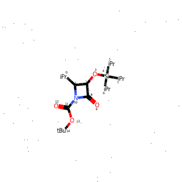 CC(C)C1C(O[Si](C(C)C)(C(C)C)C(C)C)C(=O)N1C(=O)OC(C)(C)C